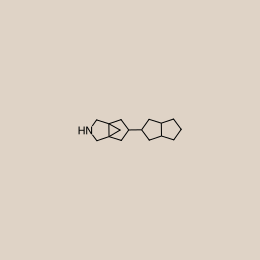 C1CC2CC(C3CC45CNCC4(C3)C5)CC2C1